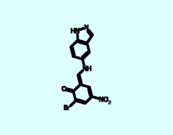 O=C1C(Br)=CC([N+](=O)[O-])=C/C1=C\Nc1ccc2[nH]ncc2c1